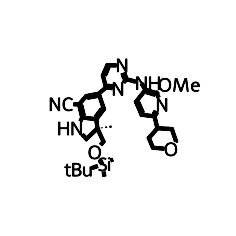 COc1nc(C2CCOCC2)ccc1Nc1nccc(-c2cc(C#N)c3c(c2)[C@@](C)(CO[Si](C)(C)C(C)(C)C)CN3)n1